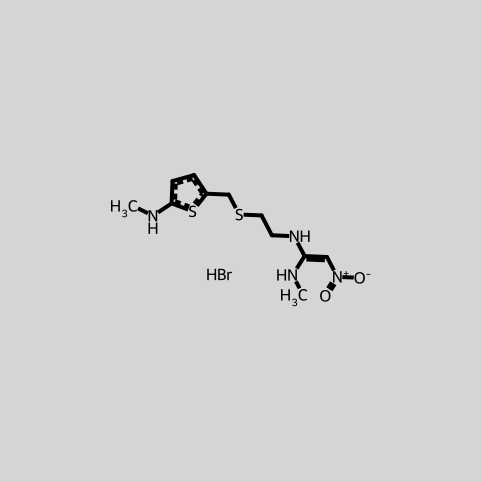 Br.CNC(=C[N+](=O)[O-])NCCSCc1ccc(NC)s1